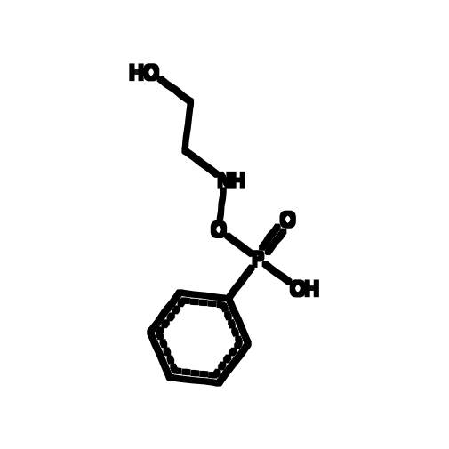 O=P(O)(ONCCO)c1ccccc1